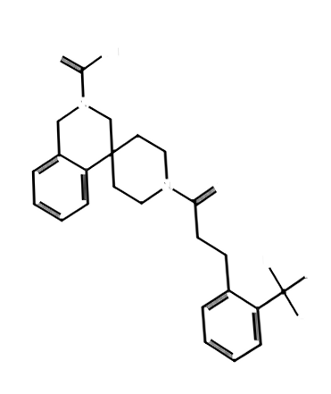 O=C(O)N1Cc2ccccc2C2(CCN(C(=O)CCc3ccccc3C(F)(F)F)CC2)C1